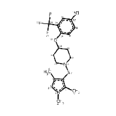 Cc1nn(C)c(C)c1SN1CCC(Oc2ccc(Cl)cc2C(F)(F)F)CC1